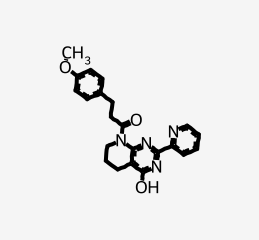 COc1ccc(CCC(=O)N2CCCc3c(O)nc(-c4ccccn4)nc32)cc1